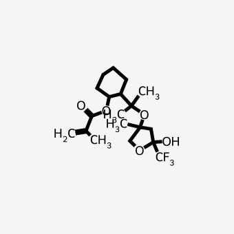 C=C(C)C(=O)OC1CCCCC1C(C)(C)OC1(C)COC(O)(C(F)(F)F)C1